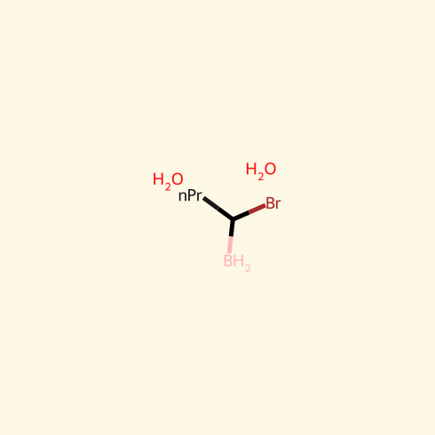 BC(Br)CCC.O.O